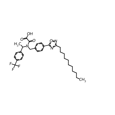 CCCCCCCCCCCc1noc(-c2ccc(CN(C(=O)C(=O)O)C(C)c3ccc(C(F)(F)F)cc3)cc2)n1